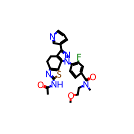 COCCN(C)C(=O)c1ccc(-n2nc(-c3cccnc3)c3c2-c2sc(NC(C)=O)nc2CC3)c(F)c1